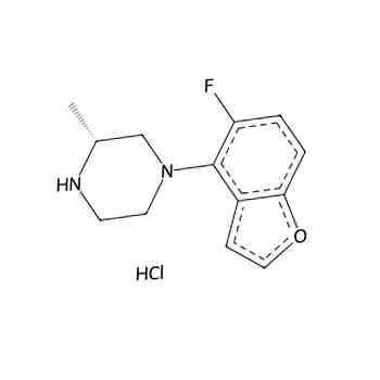 C[C@@H]1CN(c2c(F)ccc3occc23)CCN1.Cl